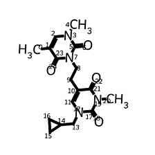 Cc1cn(C)c(=O)n(CCc2cn(CC3CC3)c(=O)n(C)c2=O)c1=O